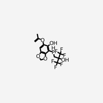 C=C(C)Oc1cc2c(c(PCC(O)(C(F)(F)F)C(F)(F)F)c1O)OCO2